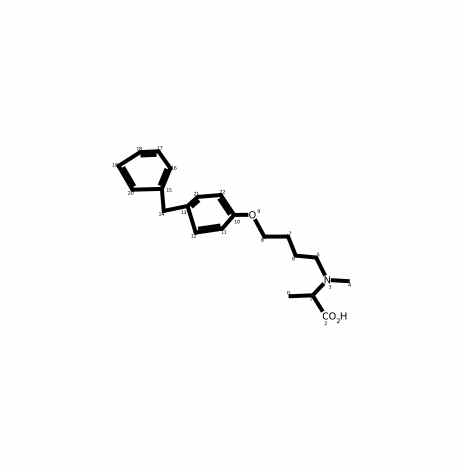 CC(C(=O)O)N(C)CCCCOc1ccc(Cc2ccccc2)cc1